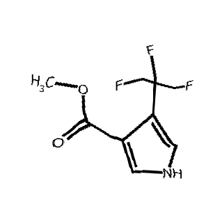 COC(=O)c1c[nH]cc1C(F)(F)F